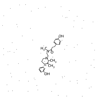 CC1[C@H](C)[C@H](c2cccc(O)c2)CCN1CCN(C)C(=O)CCc1ccc(O)cc1